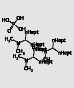 CCCCCCCC(CCCCCCC)N(C)C.CCCCCCCC(CCCCCCC)N(C)C.CCCCCCCC(CCCCCCC)N(C)C.O=P(O)(O)O